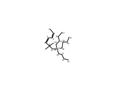 C/C=C\C=C/C(C)(C)C[N+](CCCC)(CCCC)CCCC